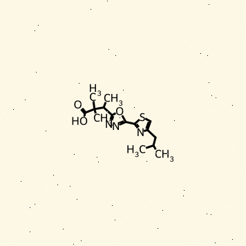 CC(C)Cc1csc(-c2nnc(C(C)C(C)(C)C(=O)O)o2)n1